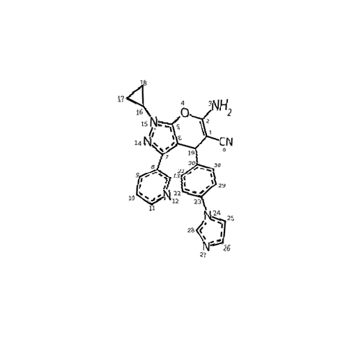 N#CC1=C(N)Oc2c(c(-c3cccnc3)nn2C2CC2)C1c1ccc(-n2ccnc2)cc1